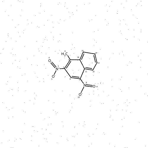 Cc1c([N+](=O)[O-])cc([N+](=O)[O-])c2ccccc12